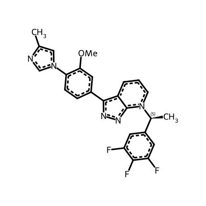 COc1cc(-c2nnc3n([C@@H](C)c4cc(F)c(F)c(F)c4)cccc2-3)ccc1-n1cnc(C)c1